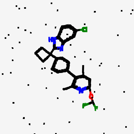 Cc1cc(OC(F)F)nc(C)c1-c1ccc(C2(c3nc4cc(Cl)ccc4[nH]3)CCC2)cc1